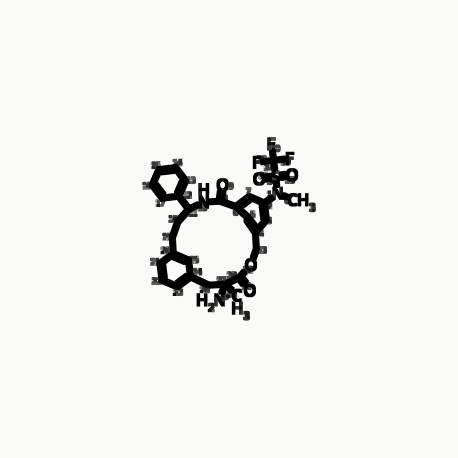 CN(c1cc2cc(c1)C(=O)NC(c1ccccc1)CCc1cccc(c1)CC(C)(N)C(=O)OC2)S(=O)(=O)C(F)(F)F